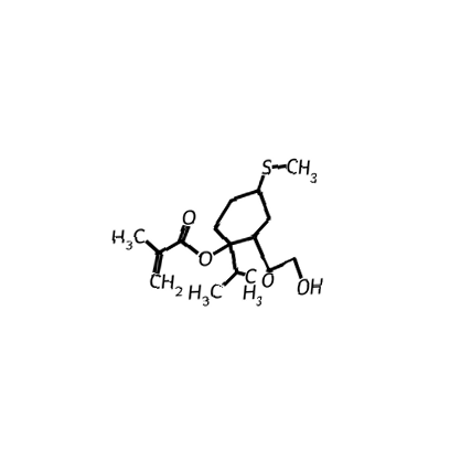 C=C(C)C(=O)OC1(C(C)C)CCC(SC)CC1C(=O)CO